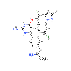 CCOC(=O)[C@@H](N)Cc1ccc(-c2cc(O[C@@H](CF)c3ccc(Cl)cc3-n3ccc(C)n3)nc(N)n2)cc1